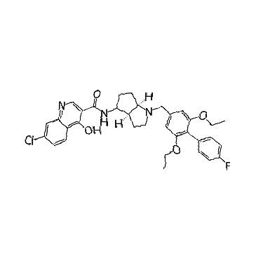 CCOc1cc(CN2CC[C@H]3C(NC(=O)c4cnc5cc(Cl)ccc5c4O)CC[C@H]32)cc(OCC)c1-c1ccc(F)cc1